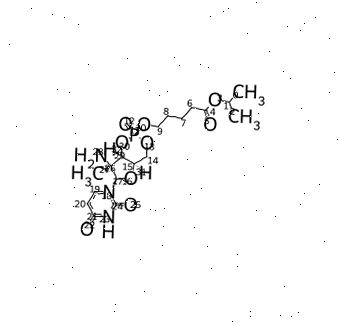 CC(C)OC(=O)CCCCOP1(=O)OC[C@H]2O[C@@H](n3ccc(=O)[nH]c3=O)[C@](C)(N)[C@@H]2O1